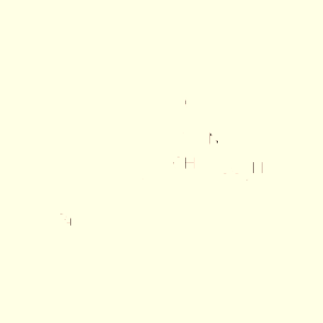 CC(C)(Cc1ccc(Br)cc1)NC(=O)O